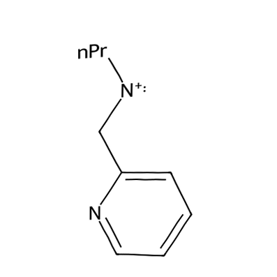 CCC[N+]Cc1ccccn1